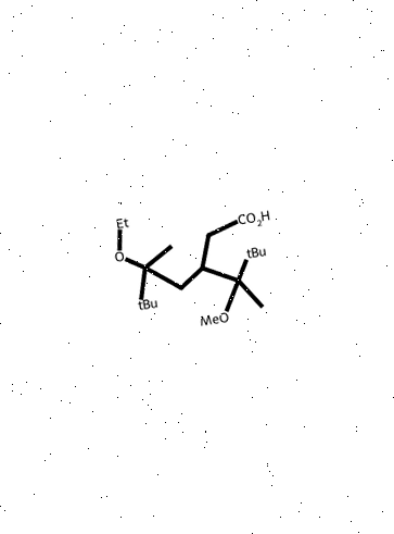 CCOC(C)(CC(CC(=O)O)C(C)(OC)C(C)(C)C)C(C)(C)C